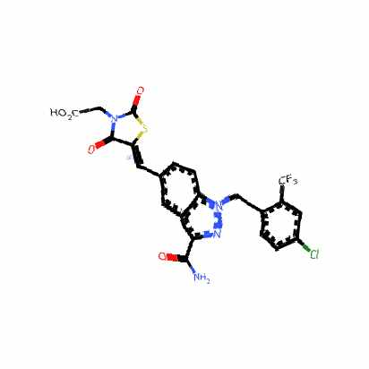 NC(=O)c1nn(Cc2ccc(Cl)cc2C(F)(F)F)c2ccc(/C=C3\SC(=O)N(CC(=O)O)C3=O)cc12